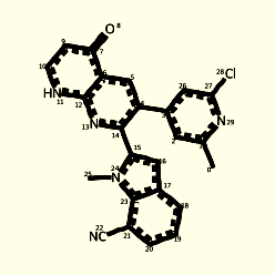 Cc1cc(-c2cc3c(=O)cc[nH]c3nc2-c2cc3cccc(C#N)c3n2C)cc(Cl)n1